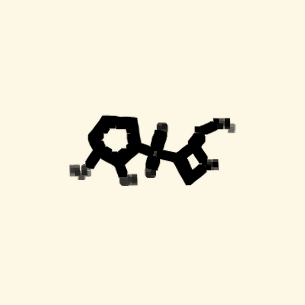 Cc1cccc(S(=O)(=O)C2=CNC2=NN)c1O